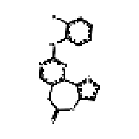 O=C1Cc2cnc(Nc3ccccc3O)nc2-c2sccc2N1